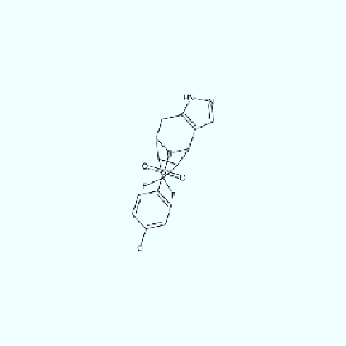 O=S(=O)(c1ccc(Cl)cc1)N1C2Cc3[nH]ncc3C1C1C2C1(F)F